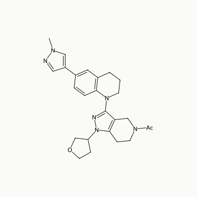 CC(=O)N1CCc2c(c(N3CCCc4cc(-c5cnn(C)c5)ccc43)nn2C2CCOC2)C1